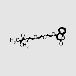 C=C(C)C(=O)SCCOCCOCCOc1cc(=O)oc2ccccc12